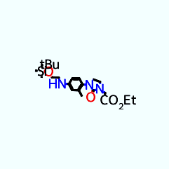 CCOC(=O)CN1CCN(c2ccc(NCCO[Si](C)(C)C(C)(C)C)cc2C)C1=O